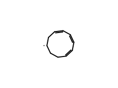 [CH]1C\C=C/C=C\C=C/CC1